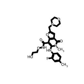 Cc1ccc(Nc2c(C(=O)NOCCO)c3oc(CN4CCOCC4)cc3c(=O)n2C)c(F)c1